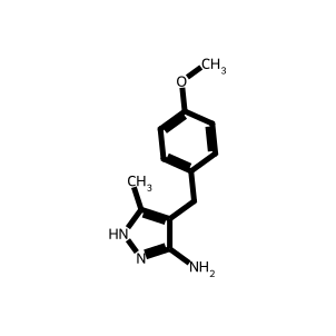 COc1ccc(Cc2c(N)n[nH]c2C)cc1